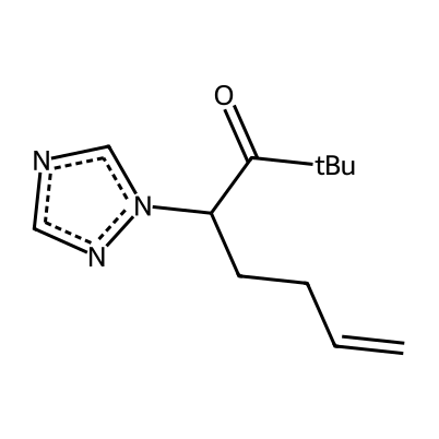 C=CCCC(C(=O)C(C)(C)C)n1cncn1